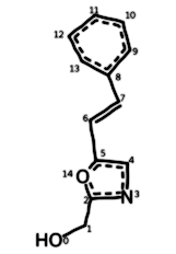 OCc1ncc(/C=C/c2ccccc2)o1